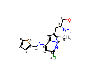 Cc1c(C[C@@H](N)CO)cc2c(NCc3cccs3)cc(Cl)nn12